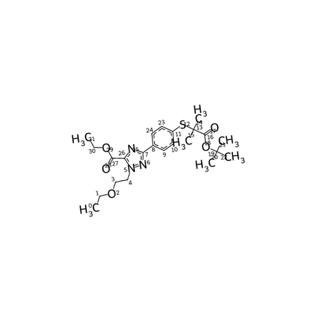 CCOCCn1nc(-c2ccc(SC(C)(C)C(=O)OC(C)(C)C)cc2)nc1C(=O)OCC